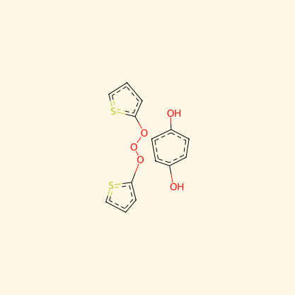 Oc1ccc(O)cc1.c1csc(OOOc2cccs2)c1